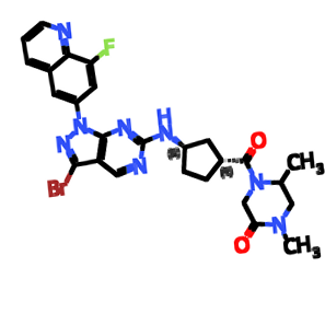 CC1CN(C)C(=O)CN1C(=O)[C@@H]1CC[C@@H](Nc2ncc3c(Br)nn(-c4cc(F)c5ncccc5c4)c3n2)C1